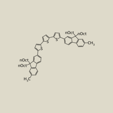 CCCCCCCCC1(CCCCCCCC)c2cc(C)ccc2-c2ccc(-c3ccc(-c4ccc(-c5ccc(-c6ccc7c(c6)C(CCCCCCCC)(CCCCCCCC)c6cc(C)ccc6-7)s5)s4)s3)cc21